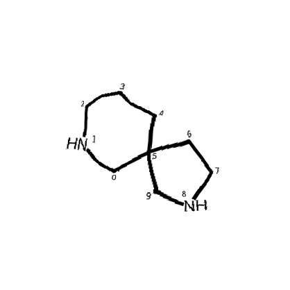 [CH]1NCCCC12CCNC2